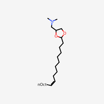 CCCCCCCC/C=C\CCCCCCCCC1OCC(CN(C)C)O1